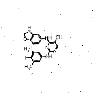 Cc1cnc(Nc2cc(C)c(I)c(C)c2)nc1Nc1ccc2c(c1)NCO2